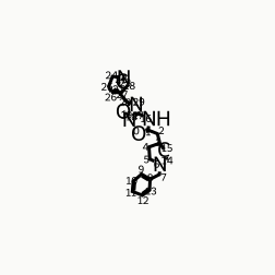 O=C(CC1CCN(Cc2ccccc2)CC1)Nc1noc(C2CN3CCC2CC3)n1